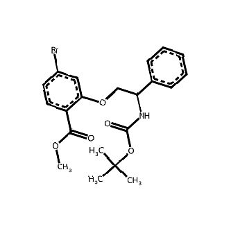 COC(=O)c1ccc(Br)cc1OCC(NC(=O)OC(C)(C)C)c1ccccc1